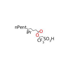 CCCCCC(CCCC(=O)OC(CS(=O)(=O)O)C(F)(F)F)C(C)C